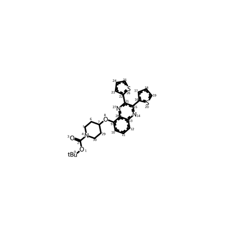 CC(C)(C)OC(=O)N1CCC(Oc2cccc3nc(-c4cccs4)c(-c4cccs4)nc23)CC1